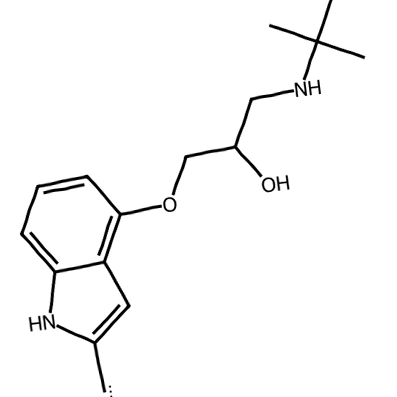 [C]c1cc2c(OCC(O)CNC(C)(C)C)cccc2[nH]1